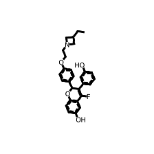 CCC1CN(CCOc2ccc(C3Oc4ccc(O)cc4C(F)=C3c3cccc(O)c3)cc2)C1